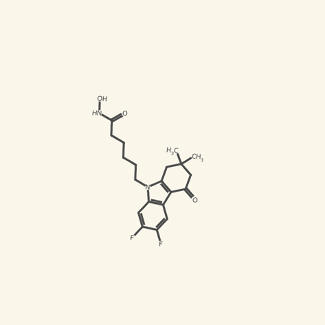 CC1(C)CC(=O)c2c(n(CCCCCC(=O)NO)c3cc(F)c(F)cc23)C1